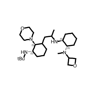 CC(CC1CCC[C@H](NC(C)(C)C)[C@H]1N1CCOCC1)N[C@H]1CCCC[C@@H]1N(C)C1COC1